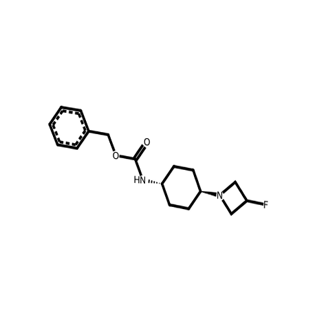 O=C(N[C@H]1CC[C@H](N2CC(F)C2)CC1)OCc1ccccc1